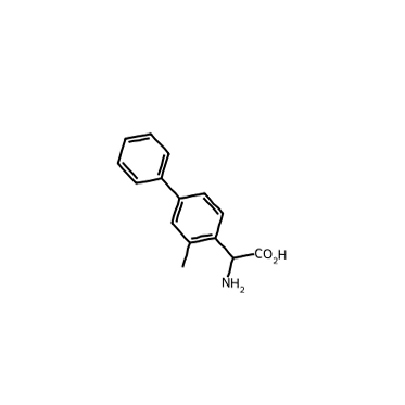 Cc1cc(-c2ccccc2)ccc1C(N)C(=O)O